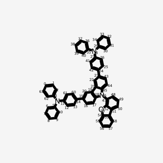 c1ccc(N(c2ccccc2)c2ccc(-c3ccc4c(c3)c3cc(-c5ccc(N(c6ccccc6)c6ccccc6)cc5)ccc3n4-c3cccc4c3oc3ccccc34)cc2)cc1